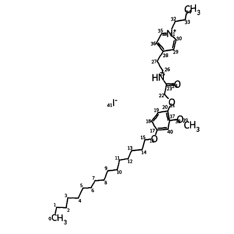 CCCCCCCCCCCCCCCCOc1ccc(OCC(=O)NCCc2cc[n+](CCC)cc2)c(OC)c1.[I-]